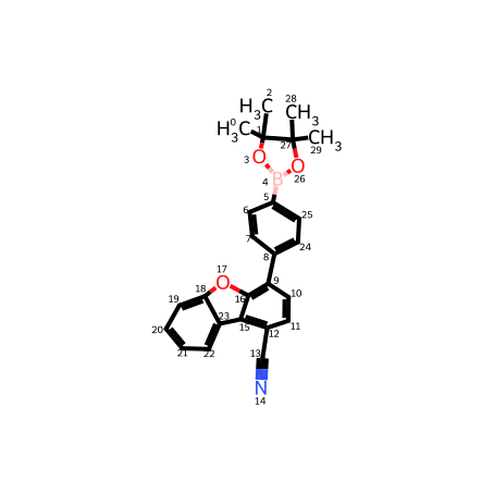 CC1(C)OB(c2ccc(-c3ccc(C#N)c4c3oc3ccccc34)cc2)OC1(C)C